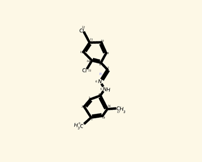 Cc1ccc(N/N=C/c2ccc(Cl)cc2Cl)c(C)c1